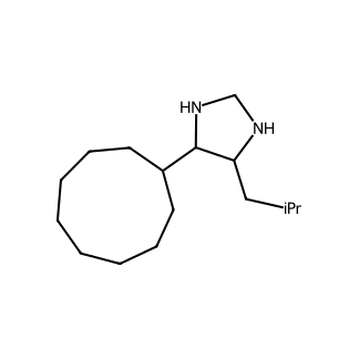 CC(C)CC1NCNC1C1CCCCCCCC1